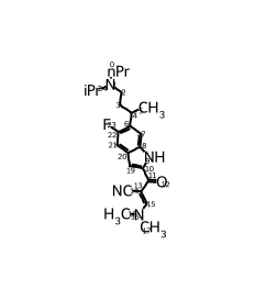 CCCN(CCC(C)c1cc2[nH]c(C(=O)/C(C#N)=C/N(C)C)cc2cc1F)C(C)C